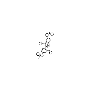 CC(=O)Oc1ccc(-n2nc3ccc(OC(C)=O)cc3c2Cl)c(C=O)c1